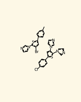 Cc1ccc(-c2cc(Br)c(-n3ccnc3)s2)cc1.Clc1ccc(-c2cc(-n3ccnc3)c(-n3ccnc3)s2)cc1